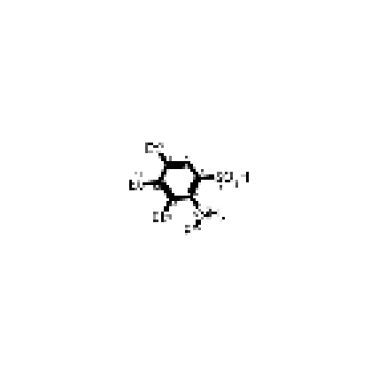 CCc1cc(S(=O)(=O)O)c([SiH2]C(C)C)c(CC)c1CC